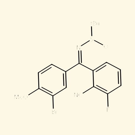 COc1ccc(C(=N[S+]([O-])C(C)(C)C)c2cccc(F)c2C#N)cc1Br